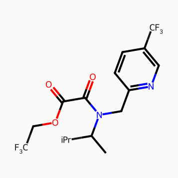 CC(C)C(C)N(Cc1ccc(C(F)(F)F)cn1)C(=O)C(=O)OCC(F)(F)F